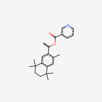 C=C(OC(=O)c1cccnc1)c1cc2c(cc1C)C(C)(C)CCC2(C)C